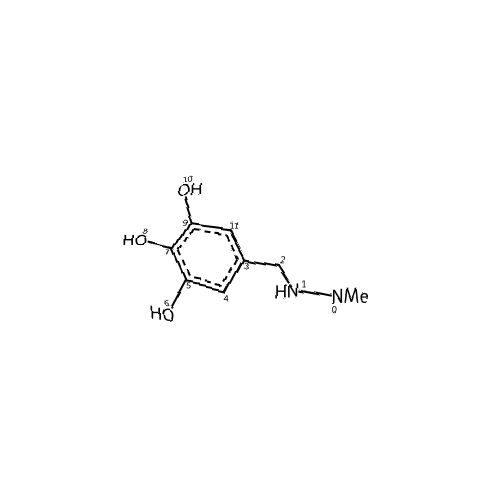 CNNCc1cc(O)c(O)c(O)c1